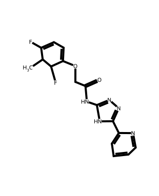 CC1C(F)=CC=C(OCC(=O)Nc2nnc(-c3ccccn3)[nH]2)C1F